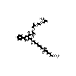 CC(N)COCCOC(C)COCC(C)NC(=O)C(CC(c1ccccc1)C(C)C)C(C(=O)NCCCCCCNC(=O)CCCCC(=O)O)C(C)C